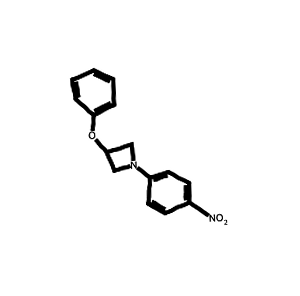 O=[N+]([O-])c1ccc(N2CC(Oc3ccccc3)C2)cc1